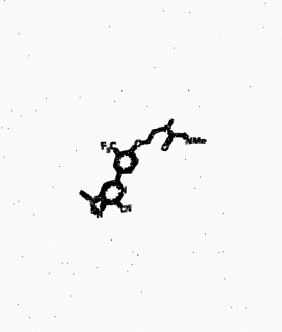 CNCC(=O)N(C)CCOc1ccc(-c2cc3c(ncn3C)c(C#N)n2)cc1C(F)(F)F